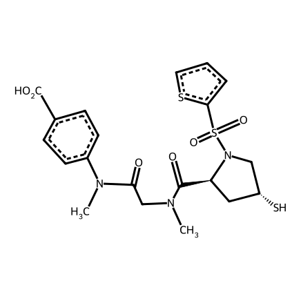 CN(CC(=O)N(C)c1ccc(C(=O)O)cc1)C(=O)[C@@H]1C[C@@H](S)CN1S(=O)(=O)c1cccs1